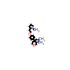 CN(C)CC1(c2ccc(OCCC3CCCN3C)cc2)CCOCC1